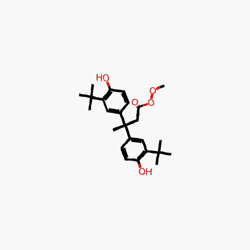 COOC(=O)CC(C)(c1ccc(O)c(C(C)(C)C)c1)c1ccc(O)c(C(C)(C)C)c1